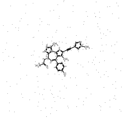 Cc1c(C#Cc2cnn(C)c2)sc2c1C(c1ccc(Cl)cc1)=N[C@@H](CC(N)=O)c1nnc(C)n1-2